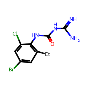 CCc1cc(Br)cc(Cl)c1NC(=O)NC(=N)N